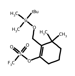 CC1(C)CCCC(OS(=O)(=O)C(F)(F)F)=C1CO[Si](C)(C)C(C)(C)C